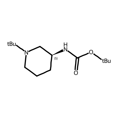 CC(C)(C)OC(=O)N[C@H]1CCCN(C(C)(C)C)C1